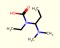 CCC(N(C)C)N(CC)C(=O)O